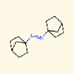 C1CC2(N=NC34CCC(CC3)C4)CCC1C2